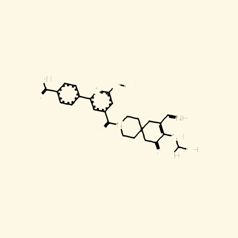 COc1cc(C(=O)N2CCC3(CC2)CC(=O)C(NC(C)C)=C(C=N)C3)cc(-c2ccc(C(=O)O)cc2)n1